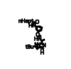 CCCCCCCC(=O)Nc1cccc(OCNC(C)c2n[nH]c3cc(C(C)(C)C)nn23)c1